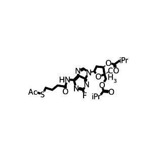 CC(=O)SCCCC(=O)Nc1nc(F)nc2c1ncn2[C@H]1C[C@H](OC(=O)C(C)C)[C@@](C)(COC(=O)C(C)C)O1